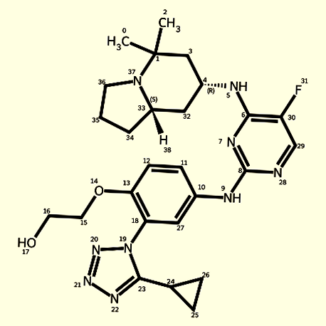 CC1(C)C[C@H](Nc2nc(Nc3ccc(OCCO)c(-n4nnnc4C4CC4)c3)ncc2F)C[C@@H]2CCCN21